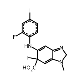 CN1CN=C2C=C(Nc3ccc(I)cc3F)C(F)(C(=O)O)C=C21